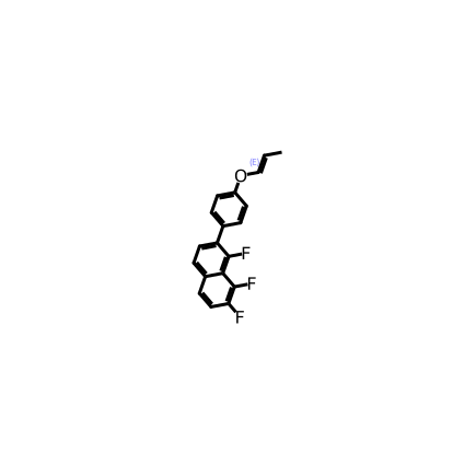 C/C=C/Oc1ccc(-c2ccc3ccc(F)c(F)c3c2F)cc1